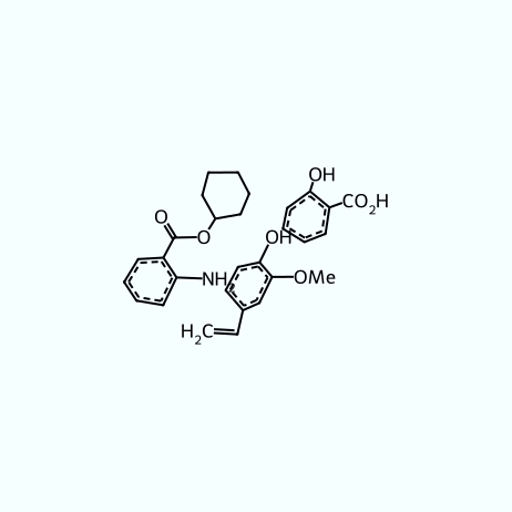 C=Cc1ccc(O)c(OC)c1.Nc1ccccc1C(=O)OC1CCCCC1.O=C(O)c1ccccc1O